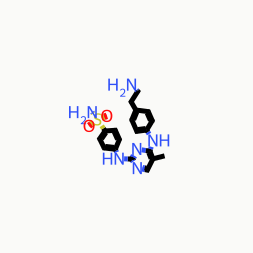 Cc1cnc(Nc2ccc(S(N)(=O)=O)cc2)nc1Nc1ccc(CCN)cc1